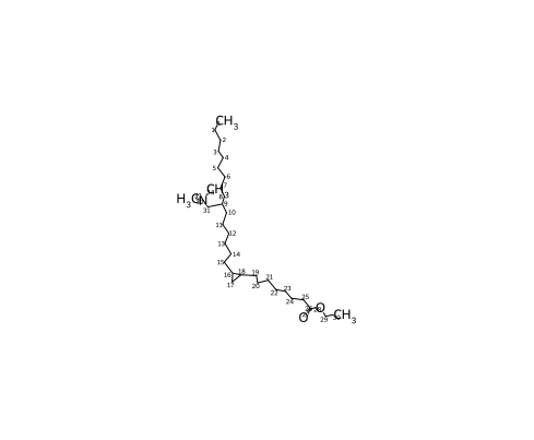 CCCCCCCCCC(CCCCCCC1CC1CCCCCCCC(=O)OCC)CN(C)C